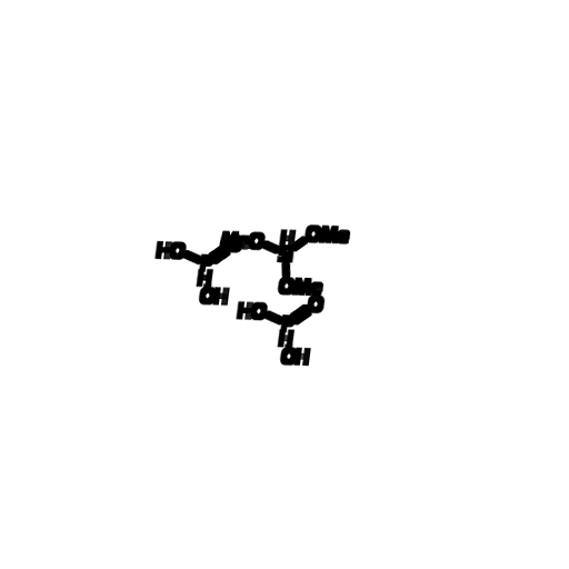 CO[SiH](OC)OC.O=[PH](O)O.O=[PH](O)O